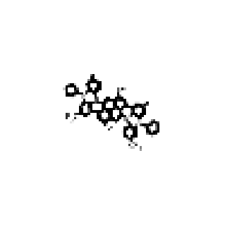 Cc1ccc2c(c1)N(c1ccccc1)c1cc(C(F)(F)F)cc3c1B2c1cc2c(C(C)C)cc4c5c(cc6c(C(C)C)cc-3c1c6c25)B1c2ccc(C(F)(F)F)cc2N(c2ccccc2)c2cc(C)cc-4c21